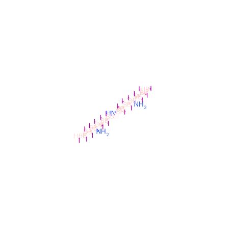 NB(B(I)B(I)B(I)B(I)BI)B(I)B(I)B(I)B(I)B(I)BNBB(I)B(I)B(I)B(I)B(I)B(N)B(I)B(I)B(I)B(I)BI